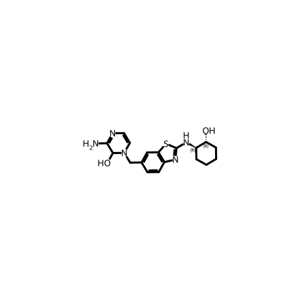 NC1=NC=CN(Cc2ccc3nc(N[C@@H]4CCCC[C@H]4O)sc3c2)C1O